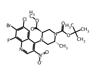 COC(=O)[C@H]1CN(C(=O)OC(C)(C)C)[C@H](C)CN1c1c([N+](=O)[O-])cnc2c(F)c(Br)c(Cl)cc12